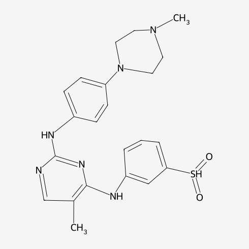 Cc1cnc(Nc2ccc(N3CCN(C)CC3)cc2)nc1Nc1cccc([SH](=O)=O)c1